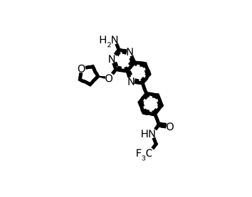 Nc1nc(O[C@H]2CCOC2)c2nc(-c3ccc(C(=O)NCC(F)(F)F)cc3)ccc2n1